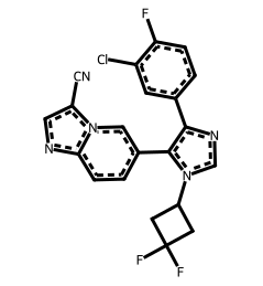 N#Cc1cnc2ccc(-c3c(-c4ccc(F)c(Cl)c4)ncn3C3CC(F)(F)C3)cn12